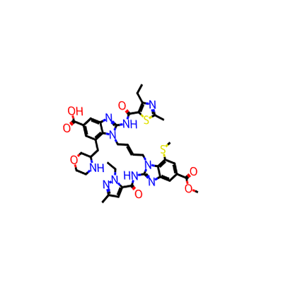 CCc1nc(C)sc1C(=O)Nc1nc2cc(C(=O)O)cc(CC3COCCN3)c2n1C/C=C/Cn1c(NC(=O)c2cc(C)nn2CC)nc2cc(C(=O)OC)cc(SC)c21